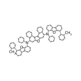 Cc1ccccc1-c1cccc2c1oc1c(N(c3ccccc3)c3cc4oc5cc(N(c6ccccc6)c6cccc7c6oc6c(-c8ccccc8C)cccc67)c6ccccc6c5c4c4ccccc34)cccc12